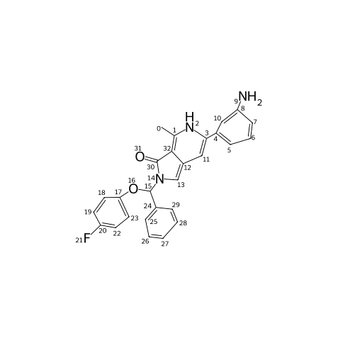 Cc1[nH]c(-c2cccc(N)c2)cc2cn(C(Oc3ccc(F)cc3)c3ccccc3)c(=O)c1-2